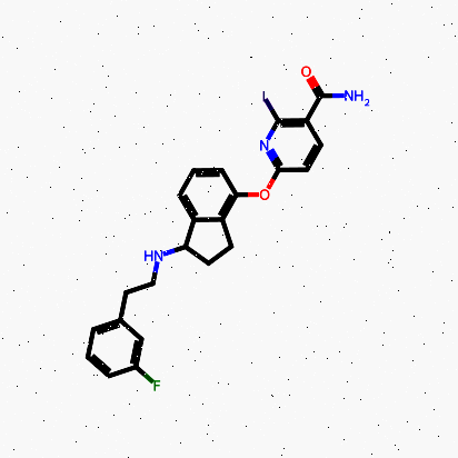 NC(=O)c1ccc(Oc2cccc3c2CCC3NCCc2cccc(F)c2)nc1I